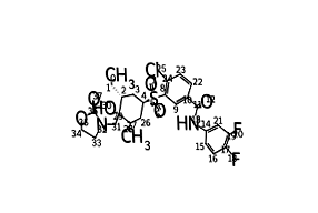 CC[C@@H]1C[C@@H](S(=O)(=O)c2cc(C(=O)Nc3ccc(F)c(F)c3)ccc2Cl)C[C@H](C)[C@@]1(O)CN1CCOC1=O